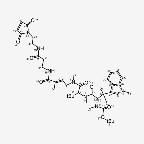 C/C(=C\CN(C)C(=O)C(NC(=O)[C@@H](N(C)C(=O)OC(C)(C)C)C(C)(C)c1cn(C)c2ccccc12)C(C)(C)C)C(=O)NCCC(=O)NCCN1C(=O)C=CC1=O